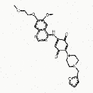 COCCOc1cc2ncnc(NC3=CC(=O)C(N4CCN(Cc5ccco5)CC4)=CC3=O)c2cc1OC